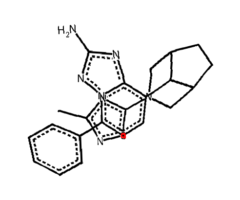 Cc1nsc(N2CC3CCC(C2)C3c2ccc(-c3ccccc3)n3nc(N)nc23)n1